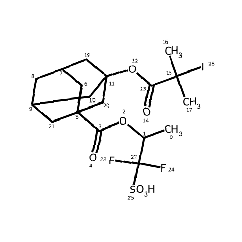 CC(OC(=O)C12CC3CC(CC(OC(=O)C(C)(C)I)(C3)C1)C2)C(F)(F)S(=O)(=O)O